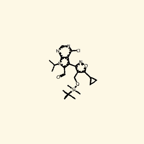 CC(C)n1c(C=O)c(-c2noc(C3CC3)c2CO[Si](C)(C)C(C)(C)C)c2c(Cl)ncnc21